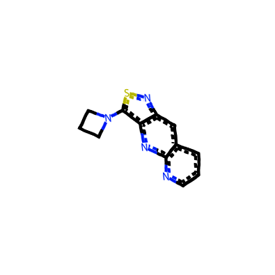 c1cnc2nc3c(N4CCC4)snc3cc2c1